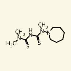 CN(C)C(=S)NC(=S)N(C)N1CCCCCC1